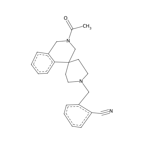 CC(=O)N1Cc2ccccc2C2(CCN(Cc3ccccc3C#N)CC2)C1